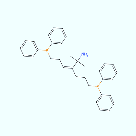 CC(C)(N)C(=CCCP(c1ccccc1)c1ccccc1)CCCP(c1ccccc1)c1ccccc1